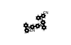 N#Cc1ccc2c(c1)c1ccccc1n2-c1ccc2c3ccccc3n(-c3ccc(-c4ccc(-n5c6ccccc6c6ccccc65)c(C#N)c4)cc3)c2c1